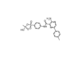 Cc1ccc(-c2cnc(N)c(C(=O)Nc3ccc(S(=O)(=O)OP(C)(=O)O)cc3)n2)cc1